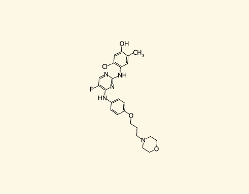 Cc1cc(Nc2ncc(F)c(Nc3ccc(OCCCN4CCOCC4)cc3)n2)c(Cl)cc1O